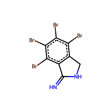 N=C1NCc2c(Br)c(Br)c(Br)c(Br)c21